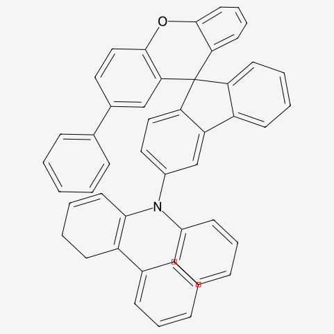 C1=CC(N(c2ccccc2)c2ccc3c(c2)-c2ccccc2C32c3ccccc3Oc3ccc(-c4ccccc4)cc32)=C(c2ccccc2)CC1